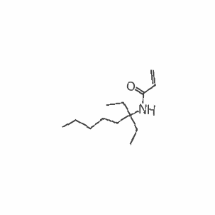 C=CC(=O)NC(CC)(CC)CCCCC